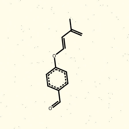 C=C(C)C=COc1ccc(C=O)cc1